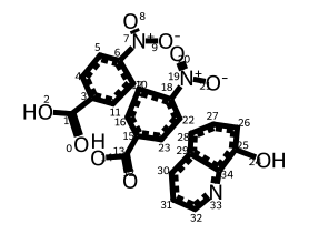 O=C(O)c1ccc([N+](=O)[O-])cc1.O=C(O)c1ccc([N+](=O)[O-])cc1.Oc1cccc2cccnc12